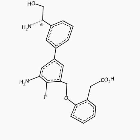 Nc1cc(-c2cccc([C@H](N)CO)c2)cc(COc2ccccc2CC(=O)O)c1F